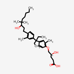 CCCCCC(C)(C)C(O)CCc1ccc(C(CC)(CC)c2ccc(OC[C@@H](O)CCC(=O)O)c(C)c2)cc1C